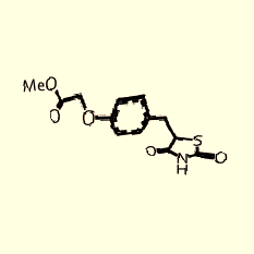 COC(=O)COc1ccc(CC2SC(=O)NC2=O)cc1